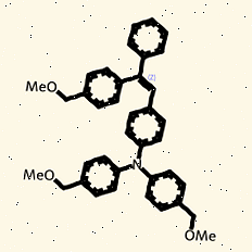 COCc1ccc(/C(=C\c2ccc(N(c3ccc(COC)cc3)c3ccc(COC)cc3)cc2)c2ccccc2)cc1